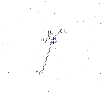 CCCCCCCCCCCCCN1C=CN(CCCC)C1C(C)C